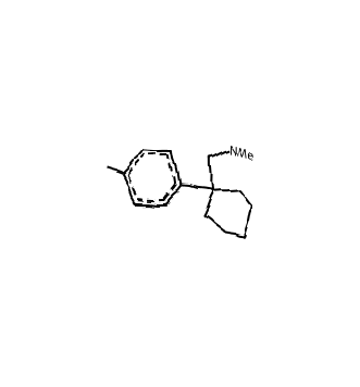 CNCC1(c2ccc(C)cc2)CCCCC1